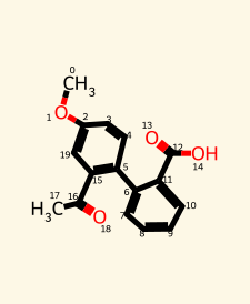 COc1ccc(-c2ccccc2C(=O)O)c(C(C)=O)c1